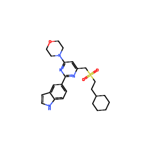 O=S(=O)(CCC1CCCCC1)Cc1cc(N2CCOCC2)nc(-c2ccc3[nH]ccc3c2)n1